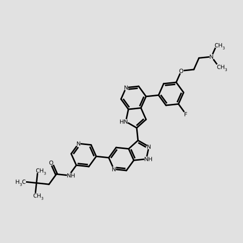 CN(C)CCOc1cc(F)cc(-c2cncc3[nH]c(-c4n[nH]c5cnc(-c6cncc(NC(=O)CC(C)(C)C)c6)cc45)cc23)c1